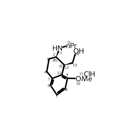 CCCN[C@@H]1CCc2cccc(OC)c2[C@@H]1CO.Cl